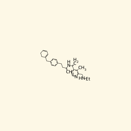 C=C(CCc1ccc(CC2=CC=CCC2)cc1)NC(=C)c1ccnc(CNCC)c1C